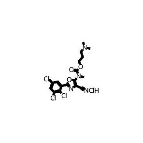 CN(C)CCCOC(=O)N(C)c1oc(-c2cc(Cl)cc(Cl)c2Cl)nc1C#N.Cl